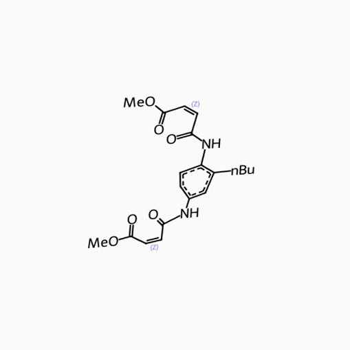 CCCCc1cc(NC(=O)/C=C\C(=O)OC)ccc1NC(=O)/C=C\C(=O)OC